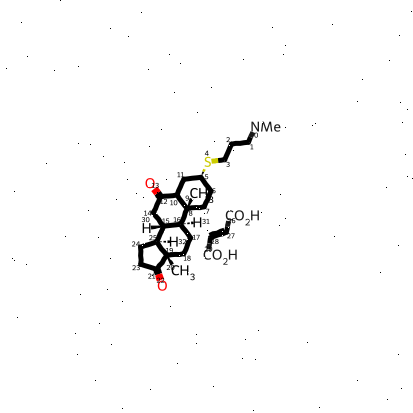 CNCCCS[C@@H]1CC[C@@]2(C)C(C1)C(=O)C[C@@H]1[C@@H]2CC[C@]2(C)C(=O)CC[C@@H]12.O=C(O)/C=C/C(=O)O